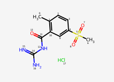 Cc1ccc(S(C)(=O)=O)cc1C(=O)NC(=N)N.Cl